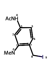 CNc1cc(NC(C)=O)ccc1CI